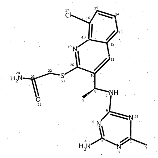 Cc1nc(N)nc(N[C@@H](C)c2cc3cccc(Cl)c3nc2SCC(N)=O)n1